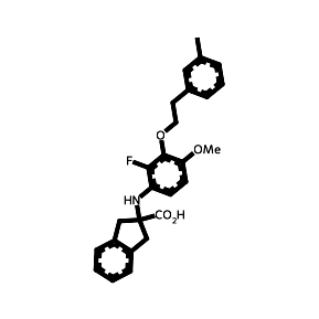 COc1ccc(NC2(C(=O)O)Cc3ccccc3C2)c(F)c1OCCc1cccc(C)c1